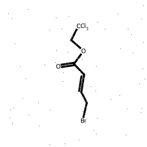 O=C(/C=C/CBr)OCC(Cl)(Cl)Cl